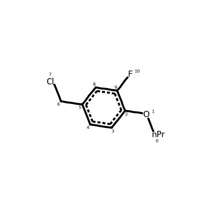 CCCOc1ccc(CCl)cc1F